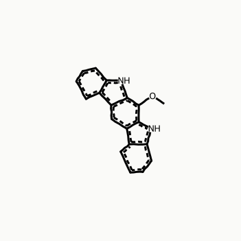 COc1c2[nH]c3ccccc3c2cc2c1[nH]c1ccccc12